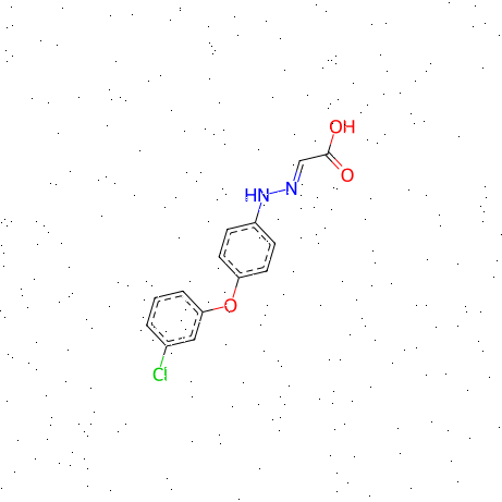 O=C(O)C=NNc1ccc(Oc2cccc(Cl)c2)cc1